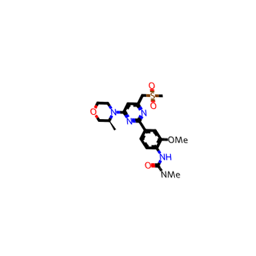 CNC(=O)Nc1ccc(-c2nc(CS(C)(=O)=O)cc(N3CCOC[C@@H]3C)n2)cc1OC